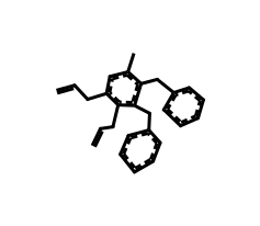 C=CCc1cc(C)c(Cc2ccccc2)c(Cc2ccccc2)c1CC=C